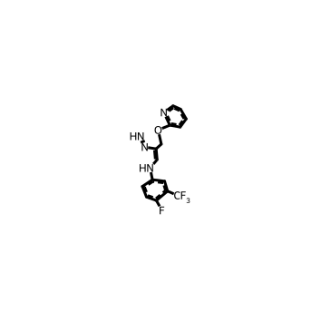 N=N/C(=C\Nc1ccc(F)c(C(F)(F)F)c1)COc1ccccn1